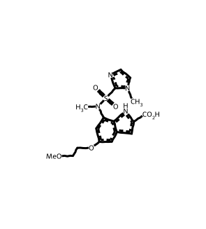 COCCOc1cc(N(C)S(=O)(=O)c2nccn2C)c2[nH]c(C(=O)O)cc2c1